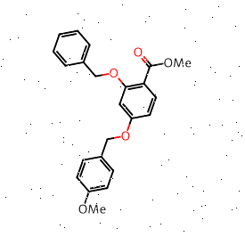 COC(=O)c1ccc(OCc2ccc(OC)cc2)cc1OCc1ccccc1